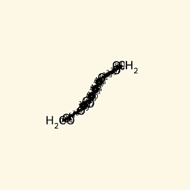 C=COC(=O)CCCCCOc1ccc(OC(=O)c2ccc(-c3ccc(-c4ccc(OCCCCCCOC(=O)C=C)cc4)cc3)cc2)cc1